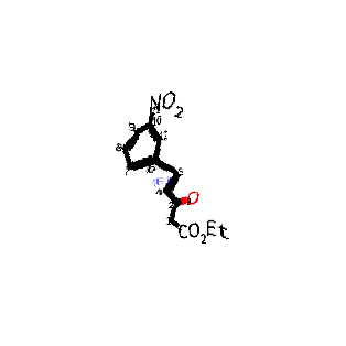 CCOC(=O)CC(=O)/C=C/c1cccc([N+](=O)[O-])c1